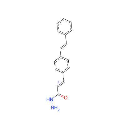 NNC(=O)/C=C/c1ccc(C=Cc2ccccc2)cc1